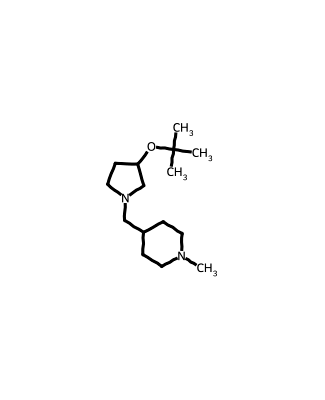 CN1CCC(CN2CCC(OC(C)(C)C)C2)CC1